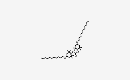 CCCCCCCCCCCOC1CC(C)(C)N(OC(=O)ON2C(C)(C)CC(OCCCCCCCCCCC)CC2(C)C)C(C)(C)C1